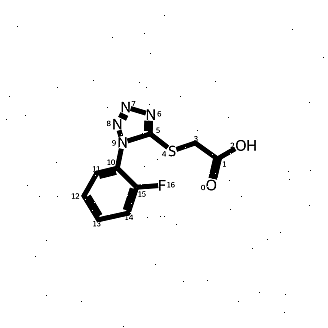 O=C(O)CSc1nnnn1-c1ccccc1F